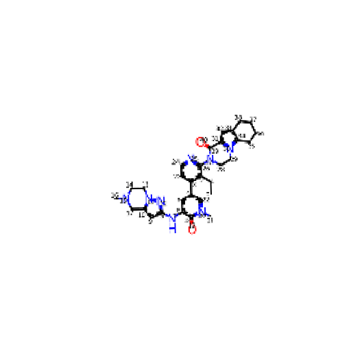 CCc1c(-c2cc(Nc3cc4n(n3)CCN(C)C4)c(=O)n(C)c2)ccnc1N1CCn2c(cc3c2CCCC3)C1=O